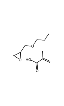 C=C(C)C(=O)O.CCCOCC1CO1